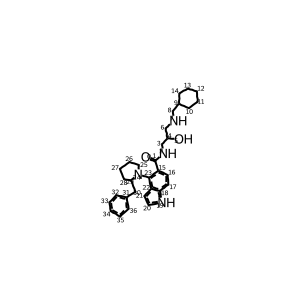 O=C(NCC(O)CNCC1CCCCC1)c1ccc2[nH]ccc2c1N1CCCCC1Cc1ccccc1